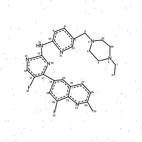 CCN1CCN(Cc2ccc(Nc3ncc(F)c(-c4cc(F)c5nc(C)ccc5c4)n3)nc2)CC1